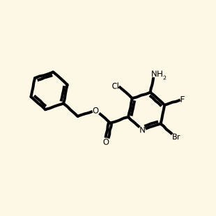 Nc1c(F)c(Br)nc(C(=O)OCc2ccccc2)c1Cl